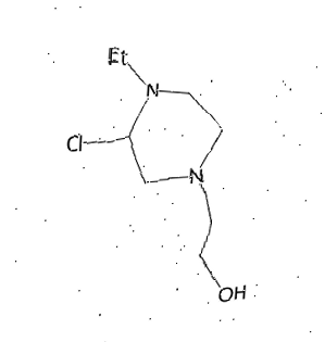 CCN1CCN(CCO)CC1Cl